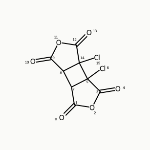 O=C1OC(=O)C2(Cl)C1C1C(=O)OC(=O)C12Cl